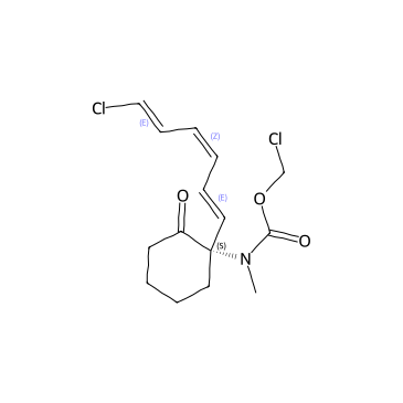 CN(C(=O)OCCl)[C@]1(/C=C/C=C\C=C\Cl)CCCCC1=O